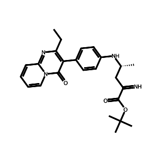 CCc1nc2ccccn2c(=O)c1-c1ccc(N[C@H](C)CC(=N)C(=O)OC(C)(C)C)cc1